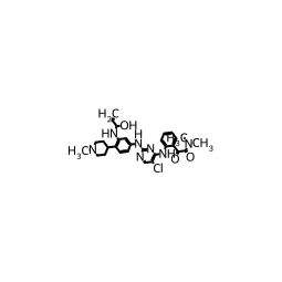 C=CC(O)Nc1cc(Nc2ncc(Cl)c(Nc3ccccc3C(=O)C(=O)N(C)C)n2)ccc1C1CCN(C)CC1